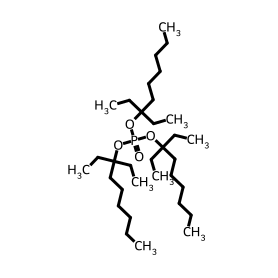 CCCCCCC(CC)(CC)OP(=O)(OC(CC)(CC)CCCCCC)OC(CC)(CC)CCCCCC